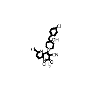 Cn1c(=O)c(C#N)c(N2CCC(O)(Cc3ccc(Cl)cc3)CC2)c2nc(Cl)ccc21